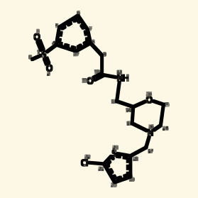 CS(=O)(=O)c1cccc(CC(=O)NCC2CN(Cc3ccc(Cl)s3)CCO2)c1